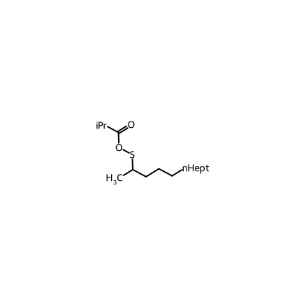 CCCCCCCCCCC(C)SOC(=O)C(C)C